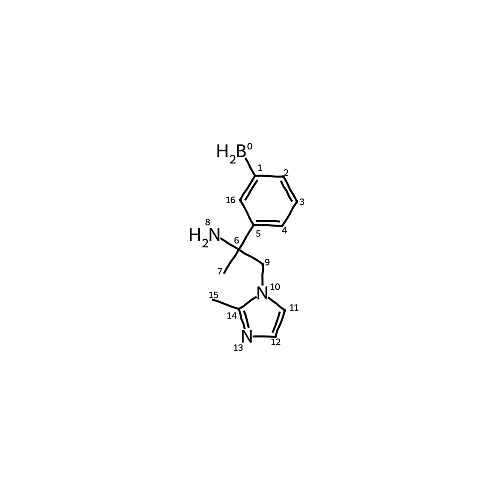 Bc1cccc(C(C)(N)Cn2ccnc2C)c1